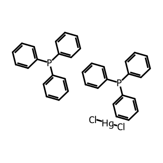 [Cl][Hg][Cl].c1ccc(P(c2ccccc2)c2ccccc2)cc1.c1ccc(P(c2ccccc2)c2ccccc2)cc1